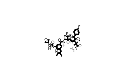 COc1c(C(C)(C)C(N)=O)cc(C(O)(CNC(=O)c2cc(NC(=O)NC3COC3)c3nc(C)c(C)cc3c2)C(F)(F)F)nc1-c1ccc(F)cc1